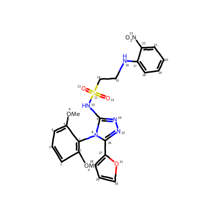 COc1cccc(OC)c1-n1c(NS(=O)(=O)CCNc2ccccc2[N+](=O)[O-])nnc1-c1ccco1